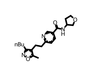 CCCCc1noc(C)c1CCc1ccc(C(=O)NC2CCOC2)cn1